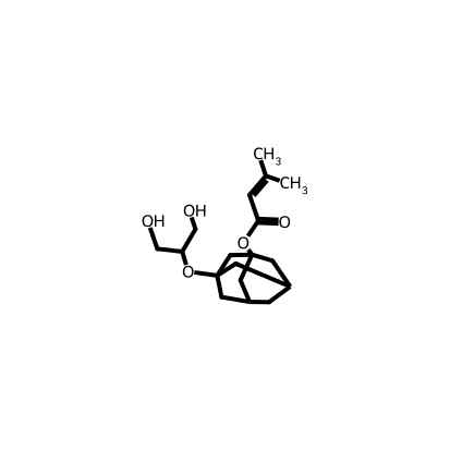 CC(C)=CC(=O)OC12CC3CC(C1)CC(OC(CO)CO)(C3)C2